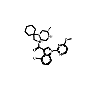 COc1ccnc(-n2cc(C(=O)NCC3(N4CCN[C@H](C)C4)CCCCC3)c3c(Cl)cccc32)n1